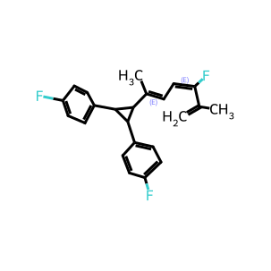 C=C(C)/C(F)=C\C=C(/C)C1C(c2ccc(F)cc2)C1c1ccc(F)cc1